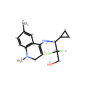 CN1CC=C(N[C@@H](C2CC2)C(F)(F)CO)c2cc([N+](=O)[O-])ccc21